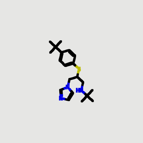 CC(C)(C)NCC(Cn1ccnc1)Sc1ccc(C(C)(C)C)cc1